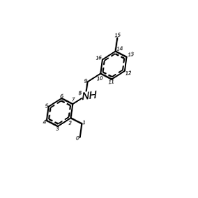 CCc1ccccc1NCc1cccc(C)c1